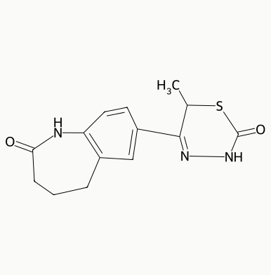 CC1SC(=O)NN=C1c1ccc2c(c1)CCCC(=O)N2